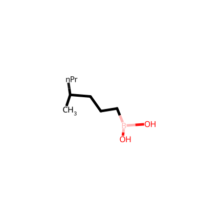 CCCC(C)CCCB(O)O